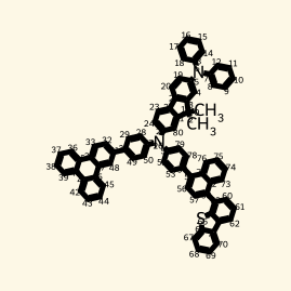 CC1(C)c2cc(N(c3ccccc3)c3ccccc3)ccc2-c2ccc(N(c3ccc(-c4ccc5c6ccccc6c6ccccc6c5c4)cc3)c3ccc(-c4ccc(-c5cccc6c5sc5ccccc56)c5ccccc45)cc3)cc21